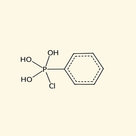 OP(O)(O)(Cl)c1ccccc1